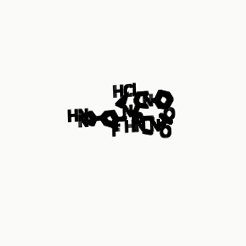 CC(C)(Oc1cccc(N2CCCC(C(=O)N(Cc3ccc(-c4cn[nH]c4)cc3F)C3CC3)C2)c1)C(=O)N1CCNCC1.Cl